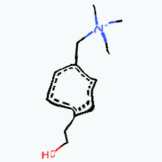 C[N+](C)(C)Cc1ccc(CO)cc1